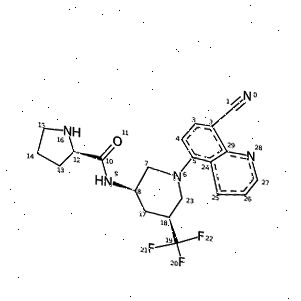 N#Cc1ccc(N2C[C@H](NC(=O)[C@H]3CCCN3)C[C@H](C(F)(F)F)C2)c2cccnc12